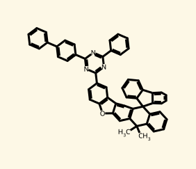 CC1(C)c2ccccc2C2(c3ccccc3-c3ccccc32)c2cc3c(cc21)oc1ccc(-c2nc(-c4ccccc4)nc(-c4ccc(-c5ccccc5)cc4)n2)cc13